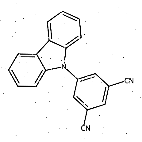 N#Cc1cc(C#N)cc(-n2c3ccccc3c3ccccc32)c1